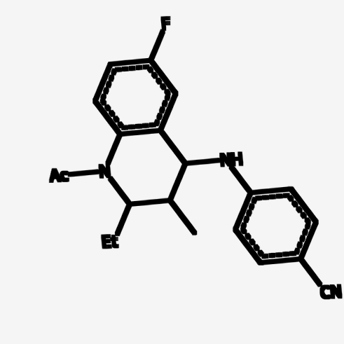 CCC1C(C)C(Nc2ccc(C#N)cc2)c2cc(F)ccc2N1C(C)=O